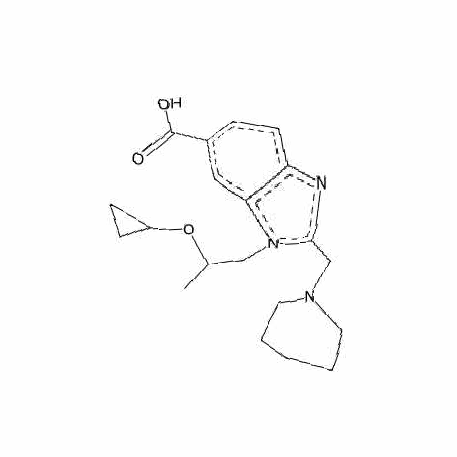 CC(Cn1c(CN2CCCCC2)nc2ccc(C(=O)O)cc21)OC1CC1